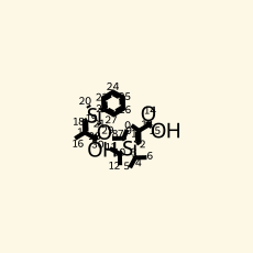 CC(=C[Si](C(C)C)(C(C)C)C(C)C)C(=O)O.CC(=C[Si](C)(C)c1ccccc1)C(=O)O